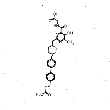 CC(=O)OCc1ccc(-c2ccc(N3CCC(Cc4nc(C)c(O)c(C(=O)NCC(=O)O)n4)CC3)cc2)cc1